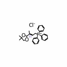 C/C(=C\C[P+](c1ccccc1)(c1ccccc1)c1ccccc1)C1OCC(C)(C)O1.[Cl-]